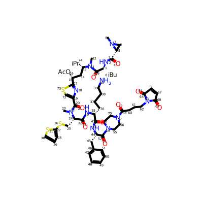 CC[C@H](C)[C@H](NC(=O)[C@H]1CN1C)C(=O)N(C)[C@H](C[C@@H](OC(C)=O)c1nc(C(=O)N(C)[C@@H](CSc2cccs2)C(=O)N[C@H](CCCCN)C(=O)N[C@@H](Cc2ccccc2)C(=O)N2CCN(C(=O)CCCN3C(=O)C=CC3=O)CC2)cs1)C(C)C